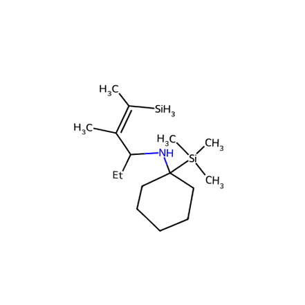 CCC(NC1([Si](C)(C)C)CCCCC1)C(C)=C(C)[SiH3]